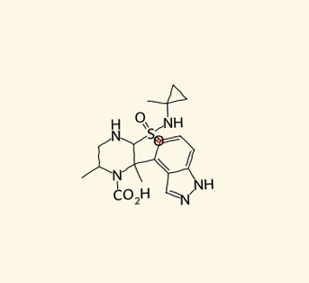 CC1CNC(S(=O)(=O)NC2(C)CC2)C(C)(c2cccc3[nH]ncc23)N1C(=O)O